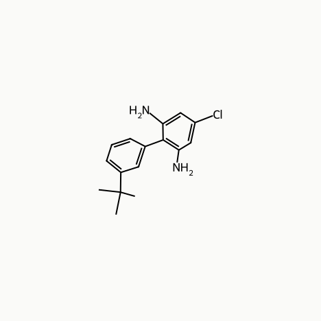 CC(C)(C)c1cccc(-c2c(N)cc(Cl)cc2N)c1